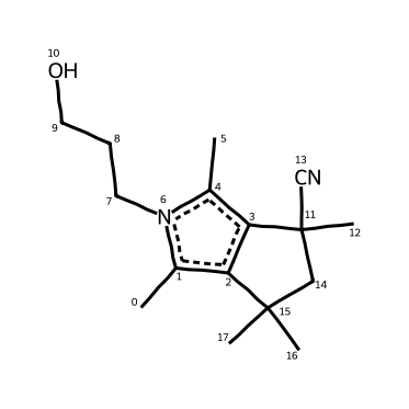 Cc1c2c(c(C)n1CCCO)C(C)(C#N)CC2(C)C